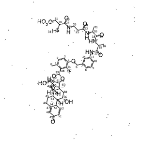 Cc1ccc(OCc2cccc(NC(=O)C(C)NC(=O)C(C)NC(=O)CCNC(=O)C(CC(=O)O)SI)c2)c(F)c1[C@@H]1O[C@@H]2C[C@H]3[C@@H]4CCC5=CC(=O)C=C[C@]5(C)[C@H]4[C@@H](O)C[C@]3(C)[C@]2(C(=O)CO)O1